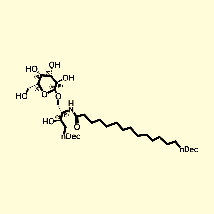 CCCCCCCCCCCCCCCCCCCCCCCC(=O)N[C@@H](CO[C@H]1O[C@H](CO)[C@H](O)[C@H](O)[C@H]1O)[C@H](O)CCCCCCCCCCC